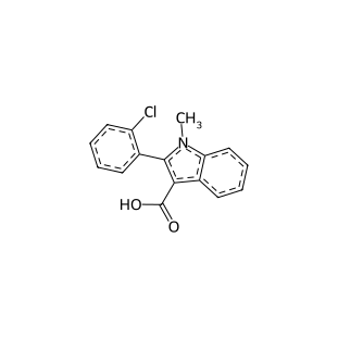 Cn1c(-c2ccccc2Cl)c(C(=O)O)c2ccccc21